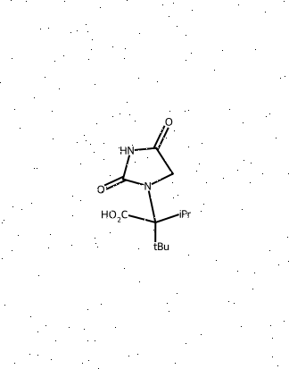 CC(C)C(C(=O)O)(N1CC(=O)NC1=O)C(C)(C)C